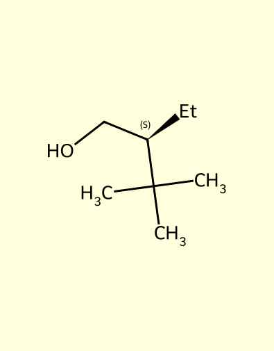 CC[C@H](CO)C(C)(C)C